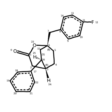 O=C1C[C@H]2CC[C@](Cc3ccc(F)cc3)(C[C@@H]2c2ccccc2)O1